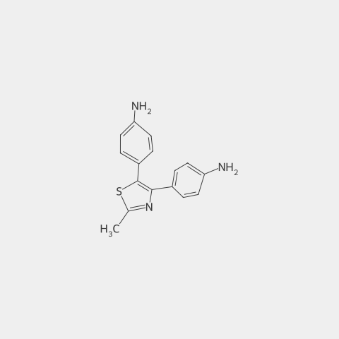 Cc1nc(-c2ccc(N)cc2)c(-c2ccc(N)cc2)s1